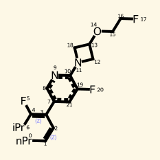 CCC/C=C\C(=C(\F)C(C)C)c1cnc(N2CC(OCCF)C2)c(F)c1